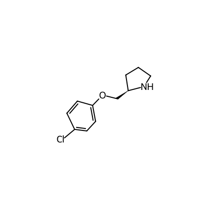 Clc1ccc(OC[C@H]2CCCN2)cc1